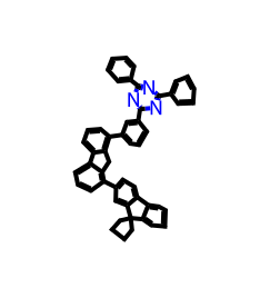 c1ccc(-c2nc(-c3ccccc3)nc(-c3cccc(-c4cccc5c4Cc4c(-c6ccc7c(c6)C6(CCCC6)c6ccccc6-7)cccc4-5)c3)n2)cc1